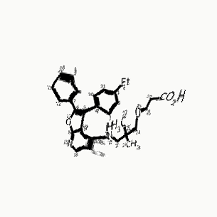 CCc1ccc(-c2c(-c3ccccc3)oc3nccc(NCC(C)(C)COCCC(=O)O)c23)cc1